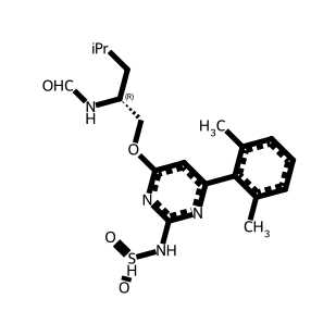 Cc1cccc(C)c1-c1cc(OC[C@@H](CC(C)C)NC=O)nc(N[SH](=O)=O)n1